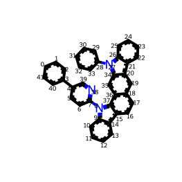 c1ccc(-c2ccc(-n3c4ccccc4c4ccc5cc6c7ccccc7n(-c7ccccc7)c6cc5c43)nc2)cc1